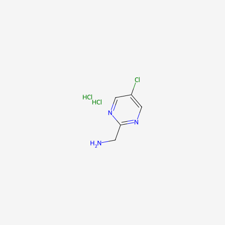 Cl.Cl.NCc1ncc(Cl)cn1